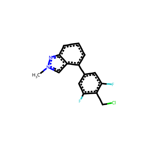 Cn1cc2c(-c3cc(F)c(CCl)c(F)c3)cccc2n1